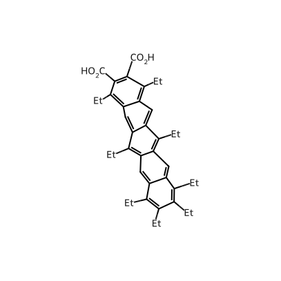 CCc1c(CC)c(CC)c2cc3c(CC)c4cc5c(CC)c(C(=O)O)c(C(=O)O)c(CC)c5cc4c(CC)c3cc2c1CC